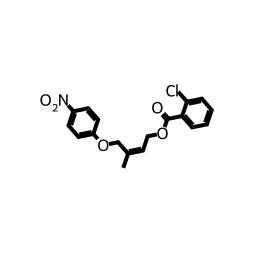 CC(=CCOC(=O)c1ccccc1Cl)COc1ccc([N+](=O)[O-])cc1